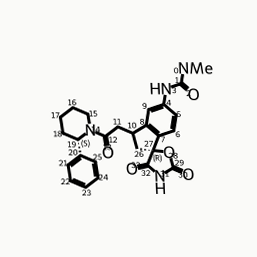 CNC(=O)Nc1ccc2c(c1)C(CC(=O)N1CCCC[C@H]1c1ccccc1)C[C@@]21OC(=O)NC1=O